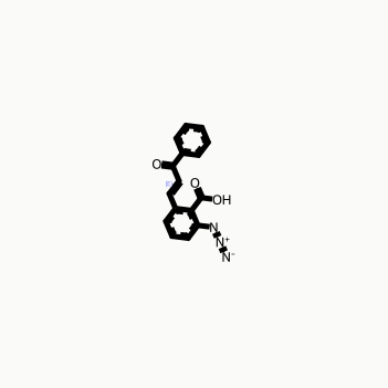 [N-]=[N+]=Nc1cccc(/C=C/C(=O)c2ccccc2)c1C(=O)O